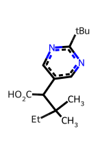 CCC(C)(C)C(C(=O)O)c1cnc(C(C)(C)C)nc1